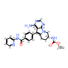 CC(C)(C)OC(=O)N[C@@H]1CCc2c(-c3ccc(C(=O)Nc4ccccn4)cc3)c3c(N)ncnc3n2C1